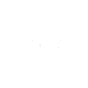 O=CNc1cc(C(F)(F)F)cnc1Cl